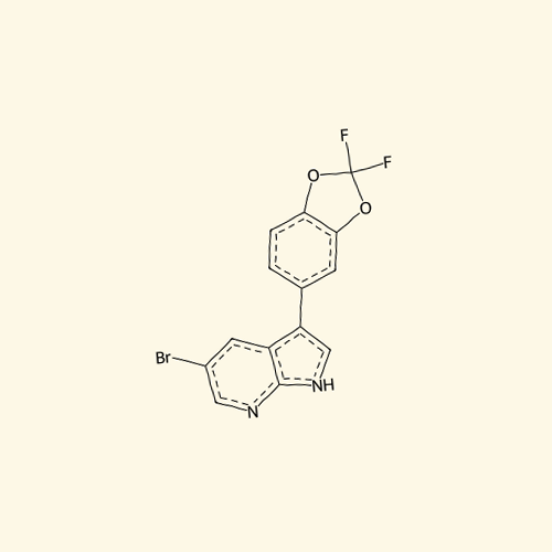 FC1(F)Oc2ccc(-c3c[nH]c4ncc(Br)cc34)cc2O1